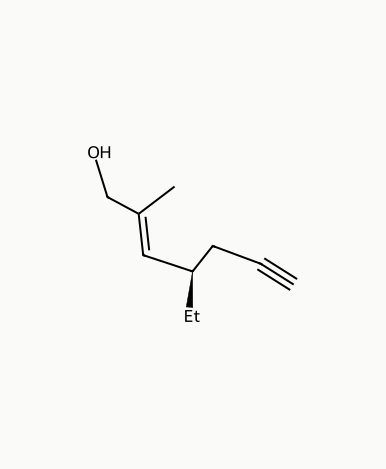 C#CC[C@H](/C=C(\C)CO)CC